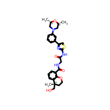 C[C@@H]1CN(c2cccc(-c3csc(NC(=O)CNC(=O)c4cccc5c4OCC[C@]5(C)CO)n3)c2)C[C@H](C)O1